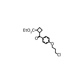 CCOC(=O)C1CCC1C(=O)c1ccc(OCCCCl)cc1